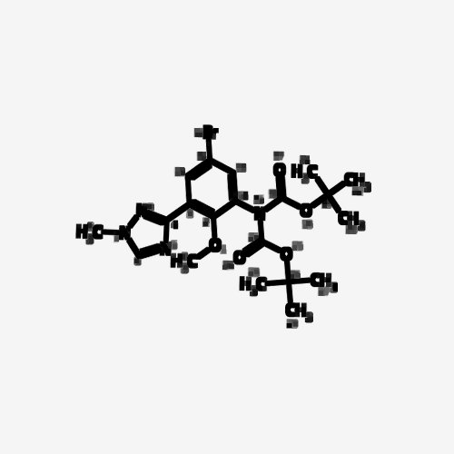 COc1c(-c2ncn(C)n2)cc(Br)cc1N(C(=O)OC(C)(C)C)C(=O)OC(C)(C)C